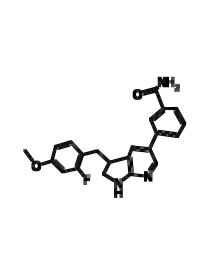 COc1ccc(CC2CNc3ncc(-c4cccc(C(N)=O)c4)cc32)c(F)c1